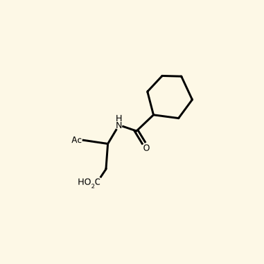 CC(=O)C(CC(=O)O)NC(=O)C1CCCCC1